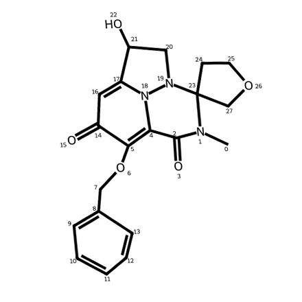 CN1C(=O)c2c(OCc3ccccc3)c(=O)cc3n2N(CC3O)C12CCOC2